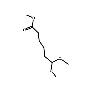 COC(=O)CCCCC(OC)OC